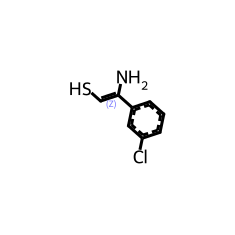 N/C(=C\S)c1cccc(Cl)c1